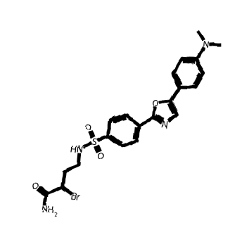 CN(C)c1ccc(-c2cnc(-c3ccc(S(=O)(=O)NCCC(Br)C(N)=O)cc3)o2)cc1